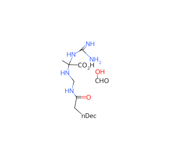 CCCCCCCCCCCC(=O)NCNC(C)(NC(=N)N)C(=O)O.O=CO